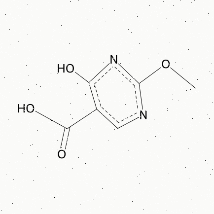 COc1ncc(C(=O)O)c(O)n1